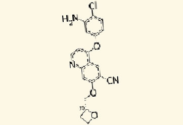 N#Cc1cc2c(Oc3ccc(Cl)c(N)c3)ccnc2cc1OC[C@H]1CCO1